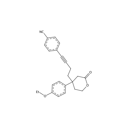 CCOc1ccc(C2(CCC#Cc3ccc(C#N)cc3)CCOC(=O)C2)cc1